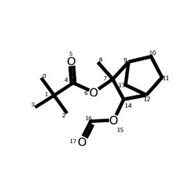 CC(C)(C)C(=O)OC1(C)C2CCC(C2)C1OC=O